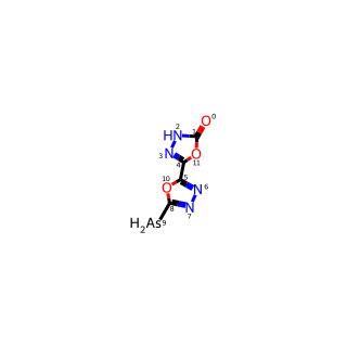 O=c1[nH]nc(-c2nnc([AsH2])o2)o1